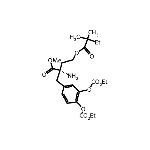 CCOC(=O)Oc1ccc(C[C@](N)(CCOC(=O)C(C)(C)CC)C(=O)OC)cc1OC(=O)OCC